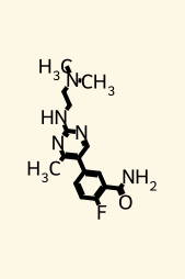 Cc1nc(NCCN(C)C)ncc1-c1ccc(F)c(C(N)=O)c1